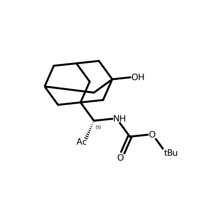 CC(=O)[C@@H](NC(=O)OC(C)(C)C)C12CC3CC(CC(O)(C3)C1)C2